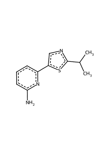 CC(C)c1ncc(-c2cccc(N)n2)s1